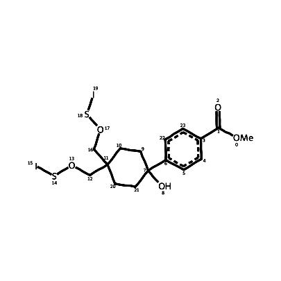 COC(=O)c1ccc(C2(O)CCC(COSI)(COSI)CC2)cc1